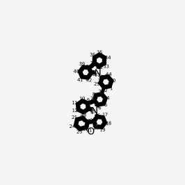 c1cc(-c2ccc3c(c2)c2ccccc2n3-c2cccc3oc4ccccc4c23)cc(-n2c3ccccc3c3ccccc32)c1